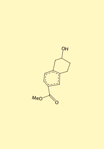 COC(=O)c1ccc2c(c1)CCC(O)C2